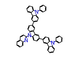 c1ccc(-n2c3ccccc3c3cc(-c4ccc5c(c4)c4cc(-c6ccc7c(c6)c6ccccc6n7-c6ccccc6)ccc4n5-c4ccc5ccccc5n4)ccc32)cc1